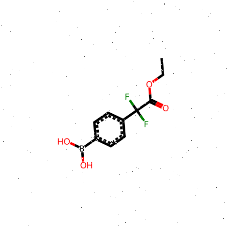 CCOC(=O)C(F)(F)c1ccc(B(O)O)cc1